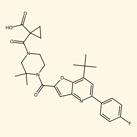 CC(C)(C)c1cc(-c2ccc(F)cc2)nc2cc(C(=O)N3CCN(C(=O)C4(C(=O)O)CC4)CC3(C)C)oc12